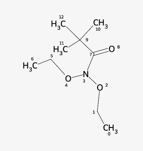 CCON(OCC)C(=O)C(C)(C)C